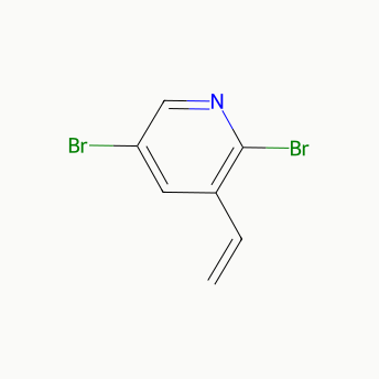 C=Cc1cc(Br)cnc1Br